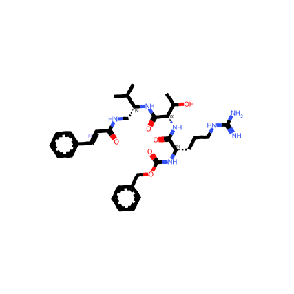 CC(O)[C@H](NC(=O)[C@H](CCCNC(=N)N)NC(=O)OCc1ccccc1)C(=O)N[C@H](CNC(=O)/C=C/c1ccccc1)C(C)C